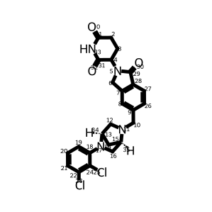 O=C1CCC(N2Cc3cc(CN4C[C@H]5C[C@@H]4CN5c4cccc(Cl)c4Cl)ccc3C2=O)C(=O)N1